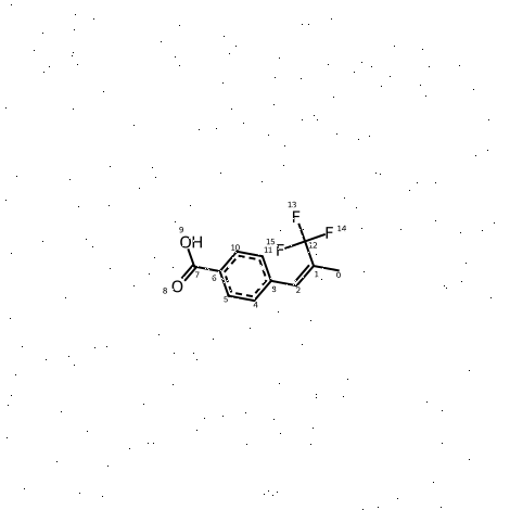 C/C(=C/c1ccc(C(=O)O)cc1)C(F)(F)F